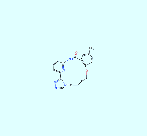 O=C1Nc2cccc(n2)-c2nncn2CCCCOc2ccc(C(F)(F)F)cc21